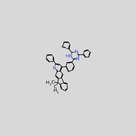 CC1(C)c2ccccc2-c2cc3c(-c4cccc(C5=NC(c6ccccc6)=NC(c6ccccc6)N5)c4)cc(-c4ccccc4)nc3cc21